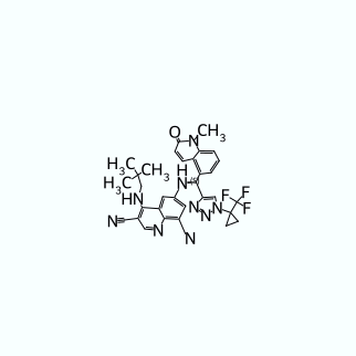 Cn1c(=O)ccc2c([C@H](Nc3cc(C#N)c4ncc(C#N)c(NCC(C)(C)C)c4c3)c3cn(C4(C(F)(F)F)CC4)nn3)cccc21